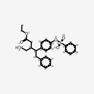 CCOC(=O)CC(CN)C(Cc1ccccc1)c1ccc(OS(=O)(=O)c2ccccc2)cc1